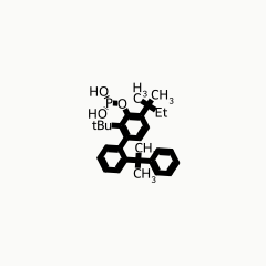 CCC(C)(C)c1ccc(-c2ccccc2C(C)(C)c2ccccc2)c(C(C)(C)C)c1OP(O)O